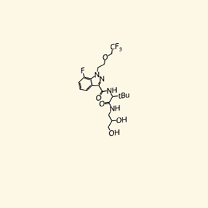 CC(C)(C)C(NC(=O)c1nn(CCOCC(F)(F)F)c2c(F)cccc12)C(=O)NCC(O)CO